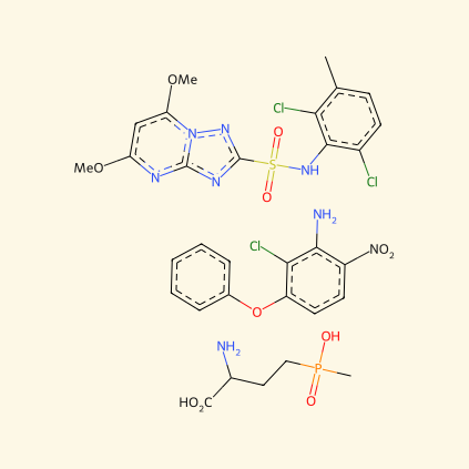 COc1cc(OC)n2nc(S(=O)(=O)Nc3c(Cl)ccc(C)c3Cl)nc2n1.CP(=O)(O)CCC(N)C(=O)O.Nc1c([N+](=O)[O-])ccc(Oc2ccccc2)c1Cl